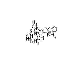 Cc1nc(N2CCC3(CC2)Cc2ccccc2[C@H]3N)c(CO)nc1Sc1ccnc(N)n1